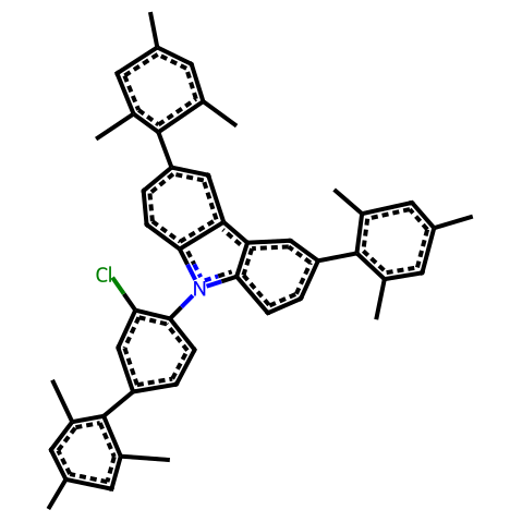 Cc1cc(C)c(-c2ccc(-n3c4ccc(-c5c(C)cc(C)cc5C)cc4c4cc(-c5c(C)cc(C)cc5C)ccc43)c(Cl)c2)c(C)c1